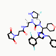 C[C@@H](CNC(=O)CCN1C(=O)C=CC1=O)NC(=O)N(C[C@@H]1CNC[C@@H]1F)C(c1nc(-c2cc(F)ccc2F)cn1Cc1ccccc1)C1CCOCC1